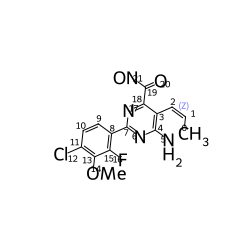 C/C=C\c1c(N)nc(-c2ccc(Cl)c(OC)c2F)nc1C(=O)N=O